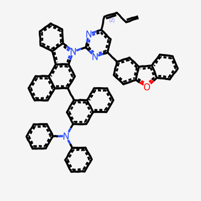 C=C/C=C\c1cc(-c2ccc3oc4ccccc4c3c2)nc(-n2c3ccccc3c3c4ccccc4c(-c4cc(N(c5ccccc5)c5ccccc5)cc5ccccc45)cc32)n1